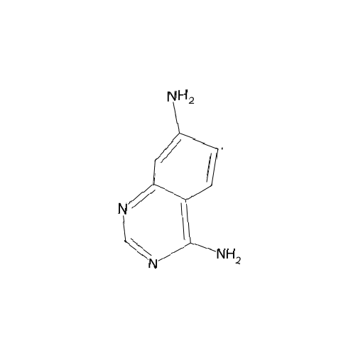 Nc1[c]cc2c(N)ncnc2c1